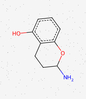 NC1CCc2c(O)cccc2O1